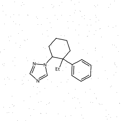 CCC1(c2ccccc2)CCCCC1n1cncn1